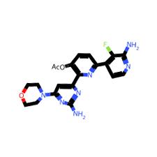 CC(=O)Oc1ccc(-c2ccnc(N)c2F)nc1-c1cc(N2CCOCC2)nc(N)n1